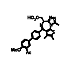 COc1ccc(-c2ccc(C3=N[C@@H](CC(=O)O)c4nnc(C)n4-c4sc(C)c(C)c43)cc2)cc1C(C)=O